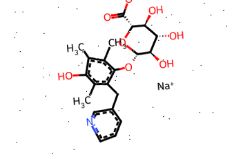 Cc1c(C)c(O[C@@H]2O[C@H](C(=O)[O-])[C@@H](O)[C@H](O)[C@H]2O)c(Cc2cccnc2)c(C)c1O.[Na+]